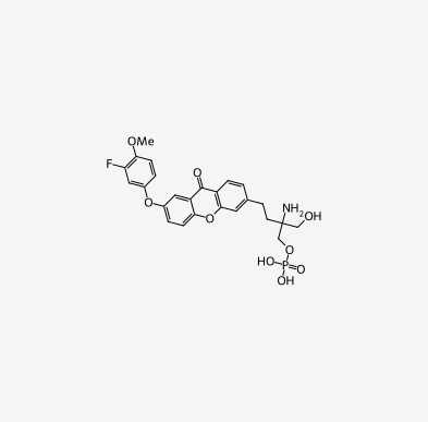 COc1ccc(Oc2ccc3oc4cc(CCC(N)(CO)COP(=O)(O)O)ccc4c(=O)c3c2)cc1F